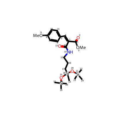 COC(=O)C(=Cc1ccc(OC)cc1)C(=O)NCCC[Si](C)(O[Si](C)(C)C)O[Si](C)(C)C